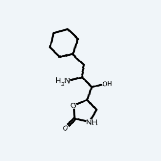 NC(CC1CCCCC1)C(O)C1CNC(=O)O1